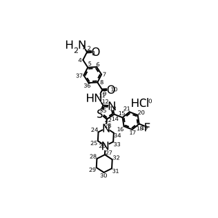 Cl.NC(=O)Cc1ccc(C(=O)Nc2nc(-c3ccc(F)cc3)c(N3CCN(C4CCCCC4)CC3)s2)cc1